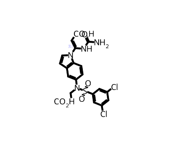 NC(=O)N/C(=C\C(=O)O)n1ccc2cc(N(CC(=O)O)S(=O)(=O)c3cc(Cl)cc(Cl)c3)ccc21